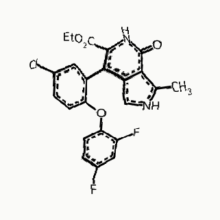 CCOC(=O)c1[nH]c(=O)c2c(C)[nH]cc2c1-c1cc(Cl)ccc1Oc1ccc(F)cc1F